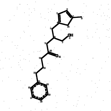 CC1=CC=C(CC(CO)CC(=O)CCCc2ccccc2)C1